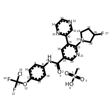 CS(=O)(=O)O.O=C(Nc1ccc(OC(F)(F)Cl)cc1)c1cnc(N2CCC(F)C2)c(-c2cnccn2)c1